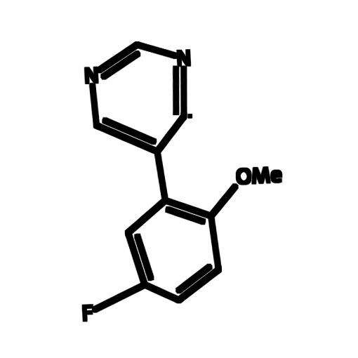 COc1ccc(F)cc1-c1[c]ncnc1